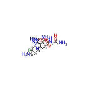 NC[C@@H](O)CNS(=O)(=O)c1ccc(N2CCC(F)(CN)CC2)c(-c2nn[nH]n2)c1S(N)(=O)=O